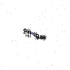 CC(C)c1ccccc1NC(=O)NS/N=C/c1ccc2c(ccc3c2ncn3-c2ccc(C(F)(F)F)nn2)n1